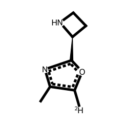 [2H]c1oc([C@@H]2CCN2)nc1C